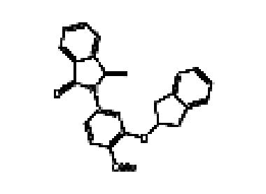 C=C1c2ccccc2C(=O)N1c1ccc(OC)c(OC2Cc3ccccc3C2)c1